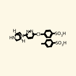 Cc1ccc(S(=O)(=O)O)cc1.Cc1ccc(S(=O)(=O)O)cc1.Clc1ccc(N2C[C@H]3C[C@@H]2CN3)nn1